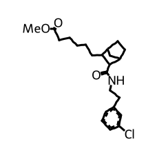 COC(=O)CCCCCC1C2CCC(C2)C1C(=O)NCCc1cccc(Cl)c1